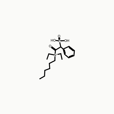 CCCCCC[N+](CC)(CC)C(=O)C(c1ccccc1)P(=O)(O)O